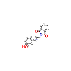 O=C1c2ccccc2C(=O)N1C/C=C/c1cccc(O)c1